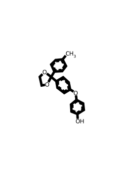 Cc1ccc(C2(c3ccc(Oc4ccc(O)cc4)cc3)OCCO2)cc1